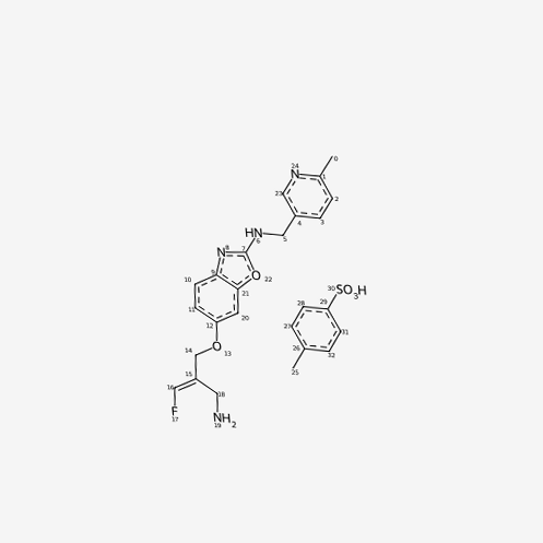 Cc1ccc(CNc2nc3ccc(OC/C(=C/F)CN)cc3o2)cn1.Cc1ccc(S(=O)(=O)O)cc1